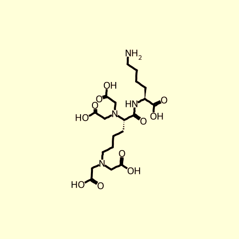 NCCCC[C@H](NC(=O)[C@H](CCCCN(CC(=O)O)CC(=O)O)N(CC(=O)O)CC(=O)O)C(=O)O